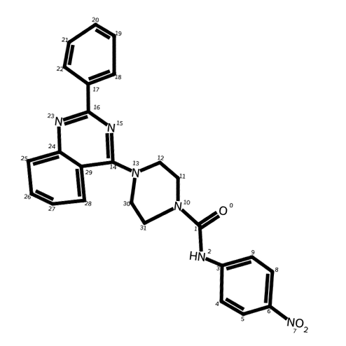 O=C(Nc1ccc([N+](=O)[O-])cc1)N1CCN(c2nc(-c3ccccc3)nc3ccccc23)CC1